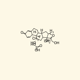 C[C@@H]1C[C@H]2[C@@H]3CCC4=CC(=O)C=C[C@]4(C)[C@@]3(F)[C@@H](O)C[C@]2(C)[C@@]1(O)C(=O)CO.O=S(O)O